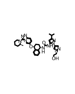 CC(C)c1cc(NC(=O)N[C@H]2CC[C@@H](Oc3ccc4nnc(N5CCCC[C@@H]5C)n4c3)c3ccccc32)n(-c2cnn(CCO)c2)n1